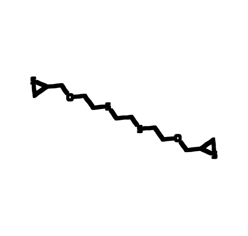 C(CSCCSCCOCC1CS1)OCC1CS1